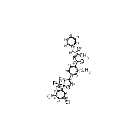 Cc1cc(C2=NOC(c3cc(Cl)cc(Cl)c3)(C(F)(F)F)C2)ccc1C(=O)N=S(C)(=O)Cc1ccccc1